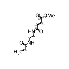 C=CC(=O)NCCNC(=O)/C=C/C(=O)OC